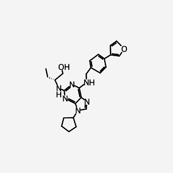 CC[C@H](CO)Nc1nc(NCc2ccc(-c3ccoc3)cc2)c2ncn(C3CCCC3)c2n1